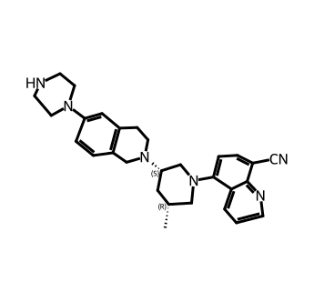 C[C@@H]1C[C@H](N2CCc3cc(N4CCNCC4)ccc3C2)CN(c2ccc(C#N)c3ncccc23)C1